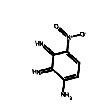 N=C1C(=N)C([N+](=O)[O-])=CC=C1N